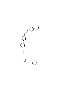 C=C(CC(=O)OC1CCCCC1)C(=O)OCCCOc1ccc(-c2ccc(C(=O)/C=C/c3ccc(N4C(=O)C=CC4=O)cc3)cc2)cc1